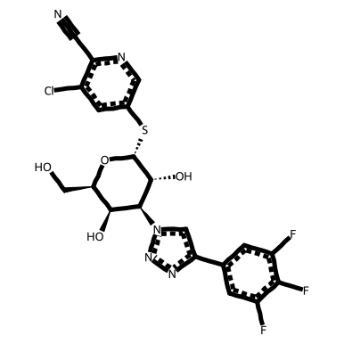 N#Cc1ncc(S[C@H]2O[C@H](CO)[C@H](O)[C@H](n3cc(-c4cc(F)c(F)c(F)c4)nn3)[C@H]2O)cc1Cl